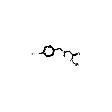 CC(C)COc1ccc(CNCC(=O)OC(C)(C)C)cc1